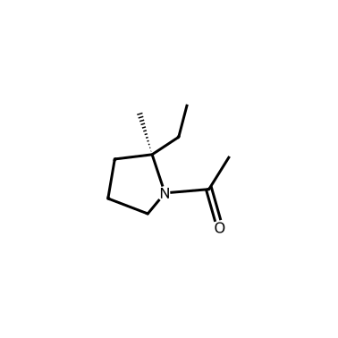 CC[C@]1(C)CCCN1C(C)=O